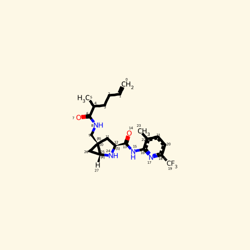 C=CCCC(C)C(=O)NC[C@@]12C[C@@H](C(=O)Nc3nc(C(F)(F)F)ccc3C)N[C@@H]1C2